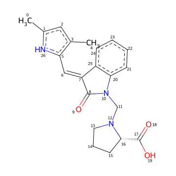 Cc1cc(C)c(C=C2C(=O)N(CN3CCC[C@H]3C(=O)O)c3ccccc32)[nH]1